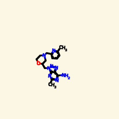 Cc1cccc(CN2CCOC(Cn3nnc4c(N)nc(C)nc43)C2)n1